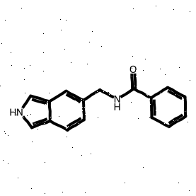 O=C(NCc1ccc2c[nH]cc2c1)c1ccccc1